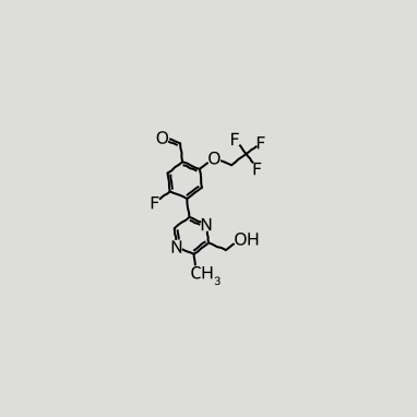 Cc1ncc(-c2cc(OCC(F)(F)F)c(C=O)cc2F)nc1CO